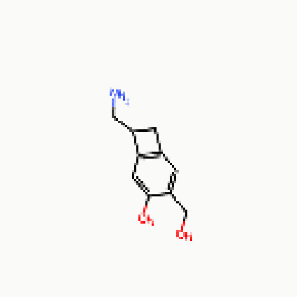 NCC1Cc2cc(CO)c(O)cc21